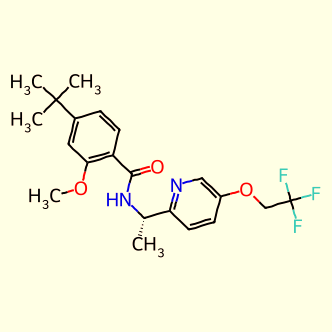 COc1cc(C(C)(C)C)ccc1C(=O)N[C@@H](C)c1ccc(OCC(F)(F)F)cn1